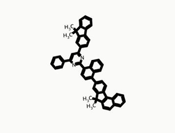 CC1(C)c2ccccc2-c2ccc(-c3cc(-c4ccccc4)nc(-c4ccc(-c5ccc6c(c5)C(C)(C)c5ccc7ccccc7c5-6)c5ccccc45)n3)cc21